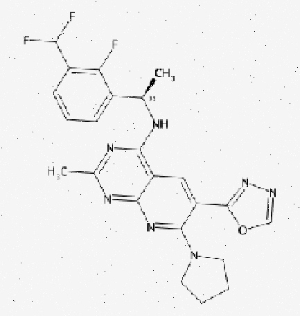 Cc1nc(N[C@H](C)c2cccc(C(F)F)c2F)c2cc(-c3nnco3)c(N3CCCC3)nc2n1